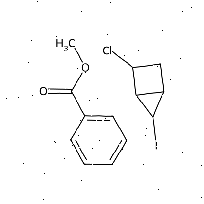 COC(=O)c1ccccc1.ClC1CC2C(I)C12